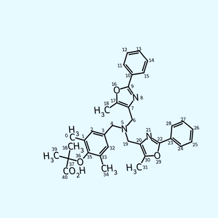 Cc1cc(CN(Cc2nc(-c3ccccc3)oc2C)Cc2nc(-c3ccccc3)oc2C)cc(C)c1OC(C)(C)C(=O)O